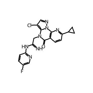 N=C(Cn1c(=O)c2ccc(C3CC3)nc2n2ncc(Cl)c12)Nc1ccc(F)cn1